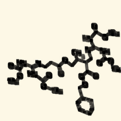 CC(COC(=O)CCN=C(NC(=O)OC(C)(C)C)NC(=O)OC(C)(C)C)C(CN=C(NC(=O)OC(C)(C)C)NC(=O)OC(C)(C)C)C(=O)OOCc1ccccc1